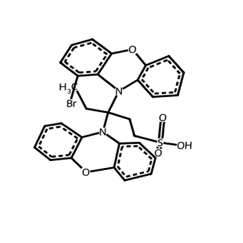 CCC(CCS(=O)(=O)O)(N1c2ccccc2Oc2ccccc21)N1c2ccccc2Oc2cccc(Br)c21